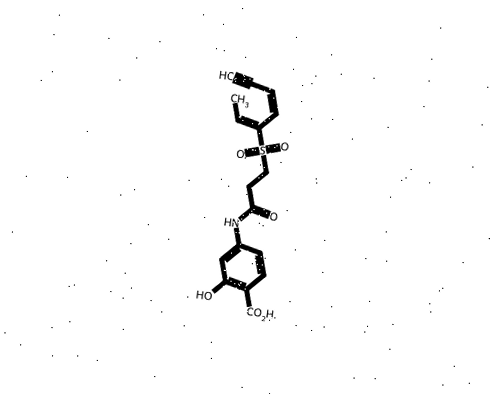 C#C/C=C\C(=C/C)S(=O)(=O)CCC(=O)Nc1ccc(C(=O)O)c(O)c1